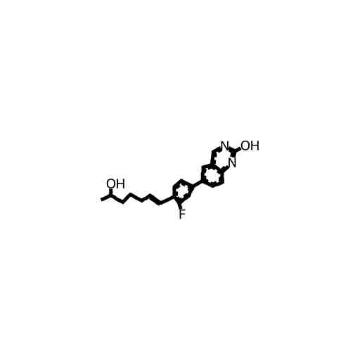 CC(O)CCCC=Cc1ccc(-c2ccc3nc(O)ncc3c2)cc1F